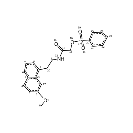 COc1ccc2cccc(CCNC(=O)COS(=O)(=O)c3ccccc3)c2c1